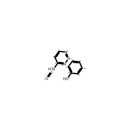 C=O.Nc1ccnnn1.Oc1ccccc1